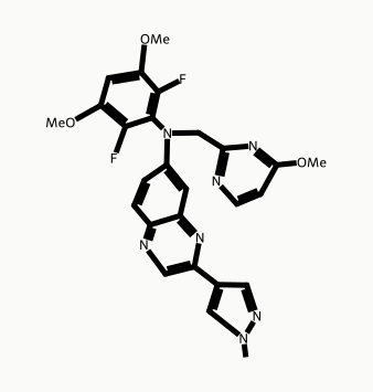 COc1ccnc(CN(c2ccc3ncc(-c4cnn(C)c4)nc3c2)c2c(F)c(OC)cc(OC)c2F)n1